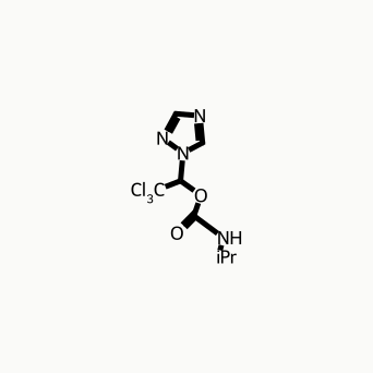 CC(C)NC(=O)OC(n1cncn1)C(Cl)(Cl)Cl